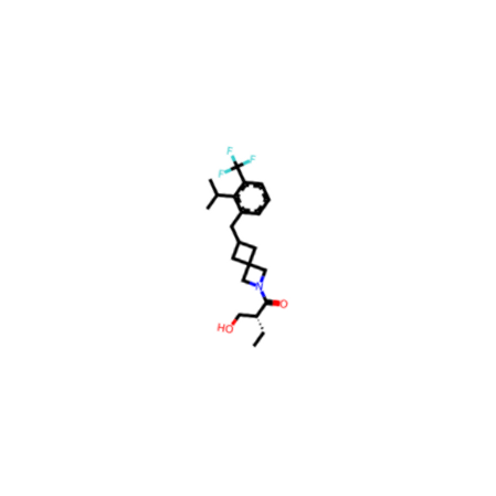 CC[C@H](CO)C(=O)N1CC2(CC(Cc3cccc(C(F)(F)F)c3C(C)C)C2)C1